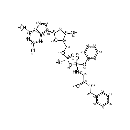 Nc1nc(Cl)nc2c1ncn2[C@H]1C[C@@H](O)C(COP(=O)(O)OP(=O)(NCC(=O)OCc2ccccc2)Oc2ccccc2)O1